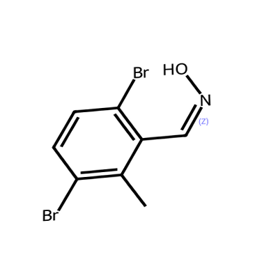 Cc1c(Br)ccc(Br)c1/C=N\O